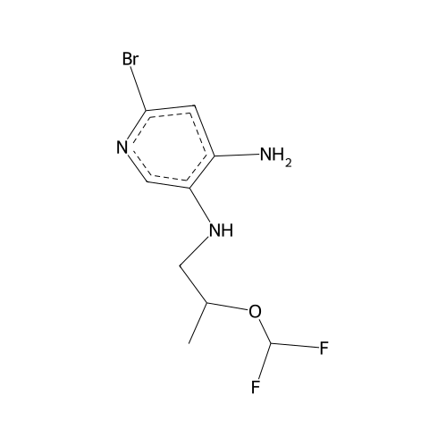 CC(CNc1cnc(Br)cc1N)OC(F)F